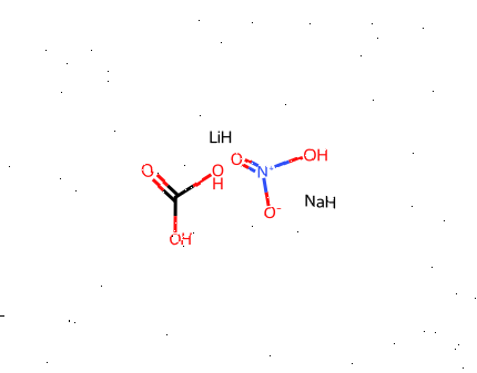 O=C(O)O.O=[N+]([O-])O.[LiH].[NaH]